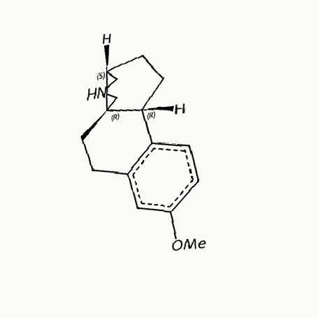 COc1ccc2c(c1)CC[C@]13CNC[C@H]1CC[C@H]23